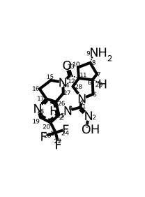 N/C(=N\O)N1C[C@@H]2C[C@@H](N)C[C@]2(C(=O)N2CCc3ncc(C(F)(F)F)cc3C2)C1